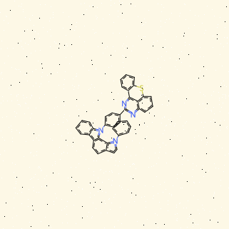 c1ccc(-n2ccc3ccc4c5ccccc5n(-c5ccc(-c6nc7c8c(cccc8n6)Sc6ccccc6-7)cc5)c4c32)cc1